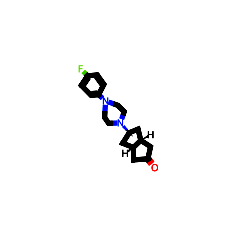 O=C1C[C@@H]2C[C@H](N3CCN(c4ccc(F)cc4)CC3)C[C@@H]2C1